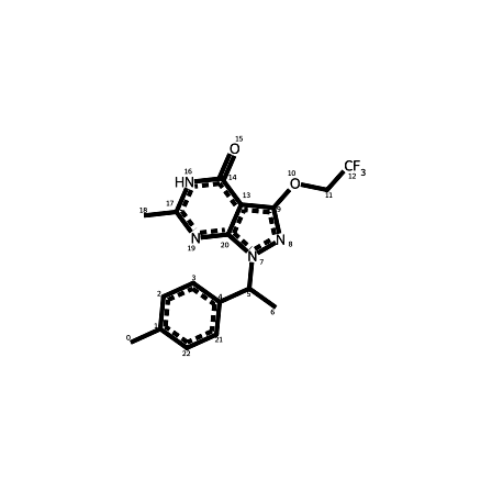 Cc1ccc(C(C)n2nc(OCC(F)(F)F)c3c(=O)[nH]c(C)nc32)cc1